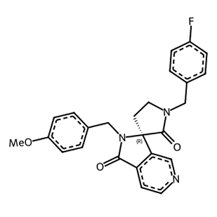 COc1ccc(CN2C(=O)c3ccncc3[C@@]23CCN(Cc2ccc(F)cc2)C3=O)cc1